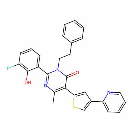 Cc1nc(-c2cccc(F)c2O)n(CCc2ccccc2)c(=O)c1-c1cc(-c2ccccn2)cs1